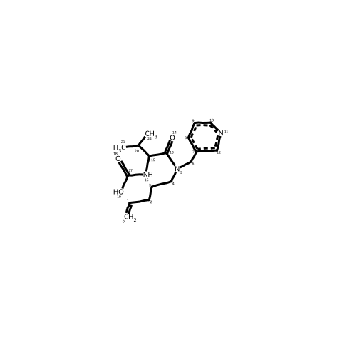 C=CCCCN(Cc1cccnc1)C(=O)C(NC(=O)O)C(C)C